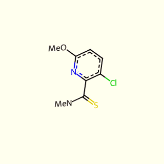 CNC(=S)c1nc(OC)ccc1Cl